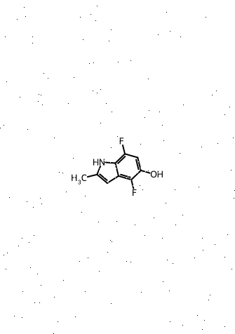 Cc1cc2c(F)c(O)cc(F)c2[nH]1